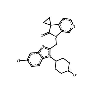 O=C1N(Cc2nc3cc(Cl)ccc3n2C2CC[S+]([O-])CC2)c2cnccc2C12CC2